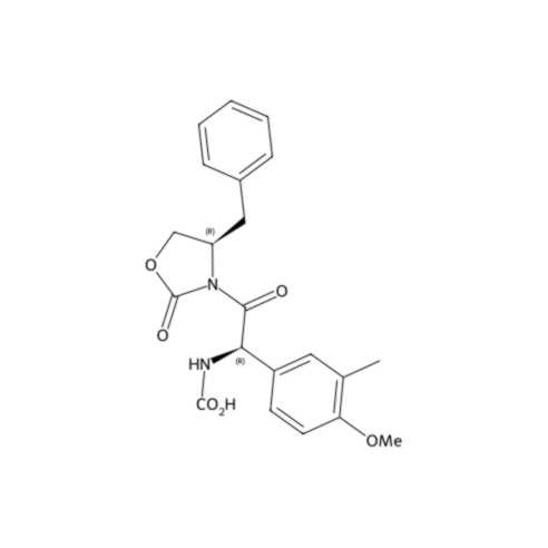 COc1ccc([C@@H](NC(=O)O)C(=O)N2C(=O)OC[C@H]2Cc2ccccc2)cc1C